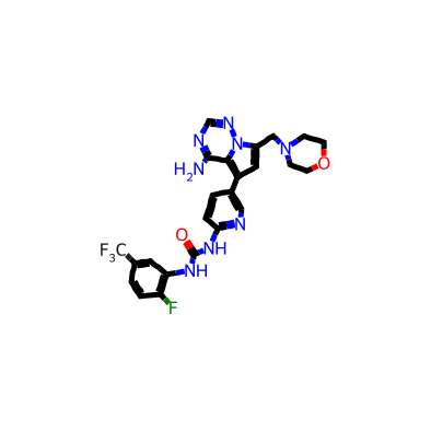 Nc1ncnn2c(CN3CCOCC3)cc(-c3ccc(NC(=O)Nc4cc(C(F)(F)F)ccc4F)nc3)c12